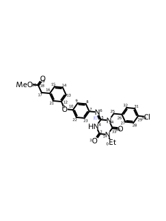 CCn1c(=O)[nH]/c(=N\c2ccc(Oc3cccc(CC(=O)OC)c3)cc2)n(Cc2ccc(Cl)cc2)c1=O